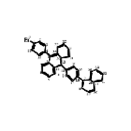 Brc1ccc(-c2c3ccccc3c(-c3ccc(-c4cccc5ccccc45)cc3)c3ccccc23)cc1